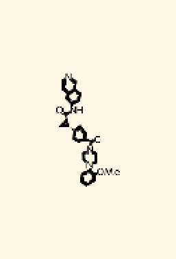 COc1ccccc1N1CCN(C(=O)c2ccc([C@@H]3C[C@H]3C(=O)Nc3ccc4cnccc4c3)cc2)CC1